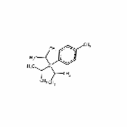 Cc1ccc([Si](C(C)C)(C(C)C)C(C)C)cc1